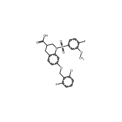 COc1cc(S(=O)(=O)N2CC(C(=O)O)Cc3ccc(OCc4c(F)cccc4Cl)cc32)ccc1F